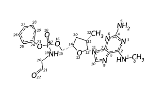 CNc1nc(N)nc2c1ncn2[C@@H]1O[C@H](COP(=O)(NCC=O)Oc2ccccc2)C[C@@H]1C